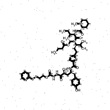 CCCC(=O)OCN(C(=O)[C@@H](NC(=O)[C@H]1CCCCN1C)C(C)CC)[C@H](CCc1nc(C(=O)N[C@@H](Cc2ccc(O)cc2)C[C@H](C)C(=O)NNC(=O)OCCSSc2ccccn2)cs1)C(C)C